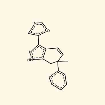 CC1(c2ccccc2)C=Cc2c(-c3cnco3)n[nH]c2C1